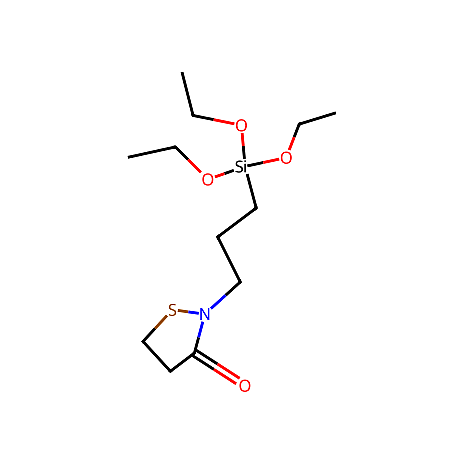 CCO[Si](CCCN1SCCC1=O)(OCC)OCC